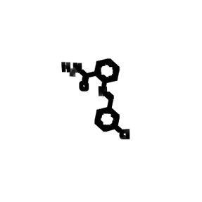 NC(=O)c1ccccc1/N=C/c1cccc(Cl)c1